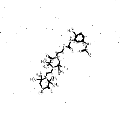 [CH2]CN1CC(C)(C)N(CCN2C(C)(C)CN(CCOC(=O)Nc3cc(NC([O])=O)ccc3C)C(=O)C2(C)C)C(C)(C)C1=O